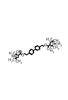 CN1C(C)(C)CC(C(=O)OCCc2ccc(-c3ccc(CCOC(=O)C4CC(C)(C)NC4(C)C)cc3)cc2)C1(C)C